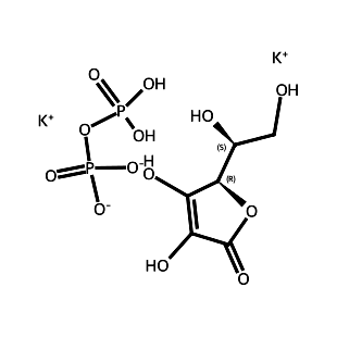 O=C1O[C@H]([C@@H](O)CO)C(O)=C1O.O=P([O-])([O-])OP(=O)(O)O.[K+].[K+]